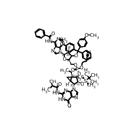 CC[C@]12C[C@@H]1[C@@H](n1cnc3c(=O)[nH]c(NC(=O)C(C)C)nc31)[C@H](O[Si](C)(C)C(C)(C)C)[C@@H]2OP(=O)(OCCC#N)OC[C@H]1O[C@@H](n2cnc3c(NC(=O)c4ccccc4)ncnc32)[C@H](F)C1OC(c1ccccc1)(c1ccc(OC)cc1)c1ccc(OC)cc1